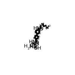 CN(C)CCN(C)CC(=O)Nc1ccc(-c2ccc(C(=O)N[C@@H](CN)C(=O)NO)cc2)cc1